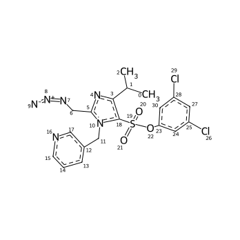 CC(C)c1nc(CN=[N+]=[N-])n(Cc2cccnc2)c1S(=O)(=O)Oc1cc(Cl)cc(Cl)c1